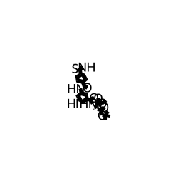 COC(=O)[C@H](CC(=O)OC(C)(C)C)NC(=O)c1cccc(NC(=O)c2ccc(C(=N)SC)cc2)c1.I